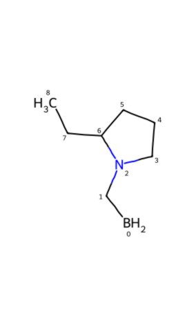 BCN1CCCC1CC